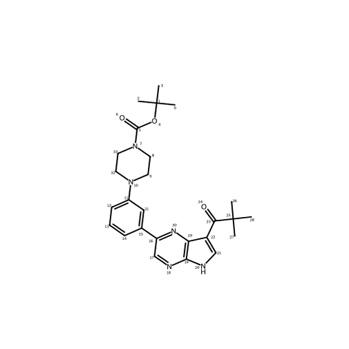 CC(C)(C)OC(=O)N1CCN(c2cccc(-c3cnc4[nH]cc(C(=O)C(C)(C)C)c4n3)c2)CC1